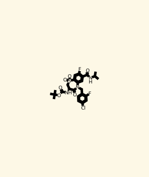 CC(C)NC(=O)c1cc2c(cc1F)S(=O)(=O)C[C@H](NC(=O)OC(C)(C)C)C(=O)N2Cc1ccc(Cl)cc1F